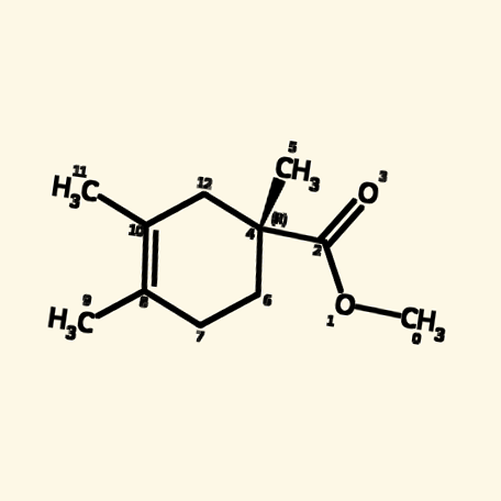 COC(=O)[C@]1(C)CCC(C)=C(C)C1